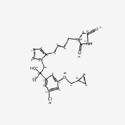 CCC(O)(Cn1nncc1CCCCN1CC(=O)NC1=O)c1cc(Cl)cc(OCC2CC2)c1